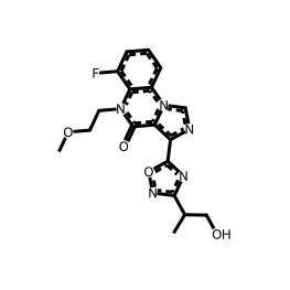 COCCn1c(=O)c2c(-c3nc(C(C)CO)no3)ncn2c2cccc(F)c21